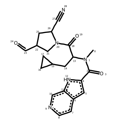 CN(C(=O)c1cc2ccncc2[nH]1)C(CC1CC1)C(=O)N1CC(C=O)CC1C#N